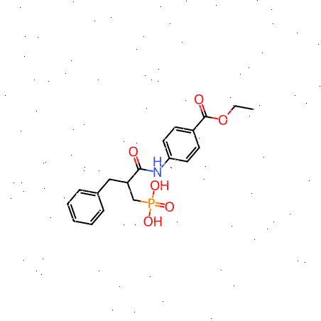 CCOC(=O)c1ccc(NC(=O)C(Cc2ccccc2)CP(=O)(O)O)cc1